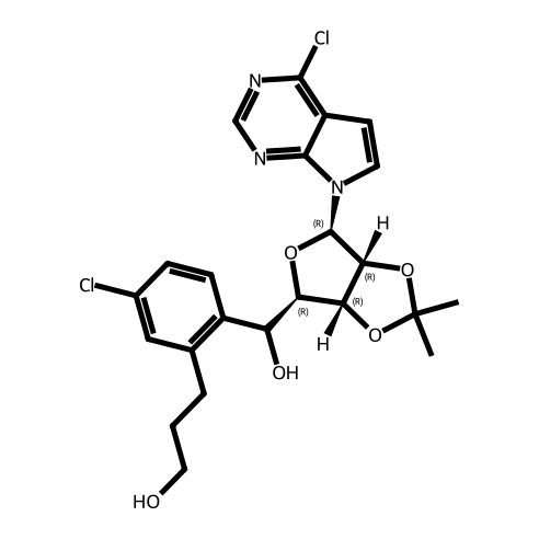 CC1(C)O[C@@H]2[C@H](O1)[C@@H](C(O)c1ccc(Cl)cc1CCCO)O[C@H]2n1ccc2c(Cl)ncnc21